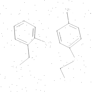 CCOc1ccc(N)cc1.CCc1ccccc1O